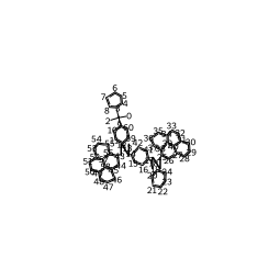 CC(C)(c1ccccc1)c1ccc(N(c2ccc(N(c3ccccc3)c3cc4cccc5ccc6cccc3c6c54)cc2)c2cc3cccc4ccc5cccc2c5c43)cc1